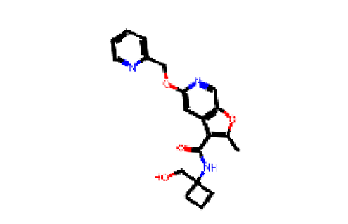 Cc1oc2cnc(OCc3ccccn3)cc2c1C(=O)NC1(CO)CCC1